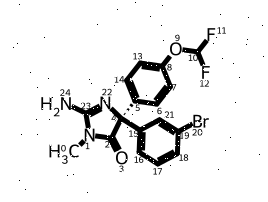 CN1C(=O)[C@](c2ccc(OC(F)F)cc2)(c2cccc(Br)c2)N=C1N